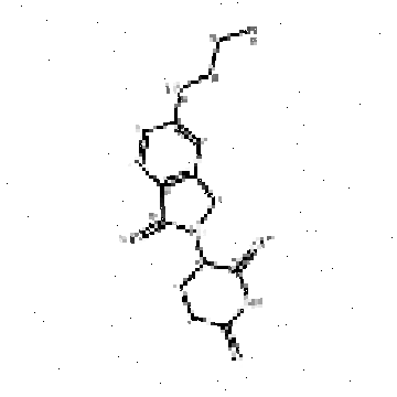 O=C1CCC(N2Cc3cc(NCCBr)ccc3C2=O)C(=O)N1